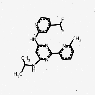 Cc1cccc(-c2nc(Nc3cc(C(F)F)ccn3)cc(NC(C)C)n2)n1